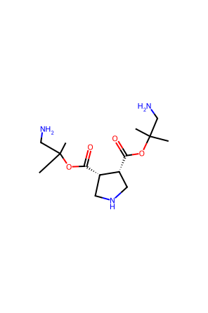 CC(C)(CN)OC(=O)[C@H]1CNC[C@H]1C(=O)OC(C)(C)CN